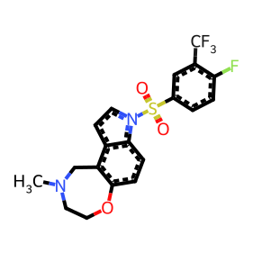 CN1CCOc2ccc3c(ccn3S(=O)(=O)c3ccc(F)c(C(F)(F)F)c3)c2C1